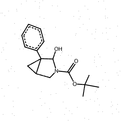 CC(C)(C)OC(=O)N1CC2CC2(c2ccccc2)C1O